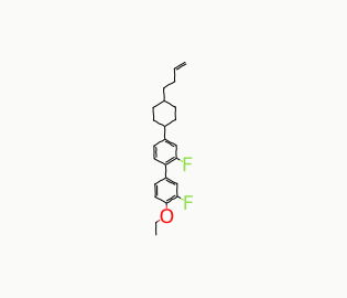 C=CCCC1CCC(c2ccc(-c3ccc(OCC)c(F)c3)c(F)c2)CC1